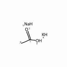 [CH2]C(=O)O.[KH].[NaH]